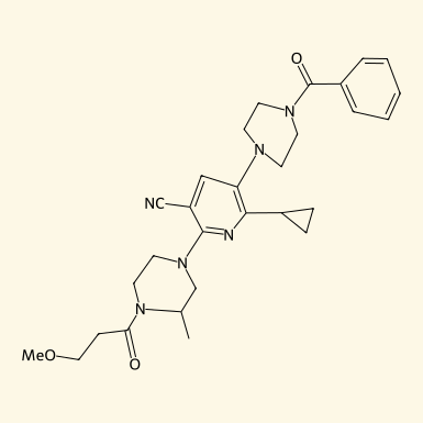 COCCC(=O)N1CCN(c2nc(C3CC3)c(N3CCN(C(=O)c4ccccc4)CC3)cc2C#N)CC1C